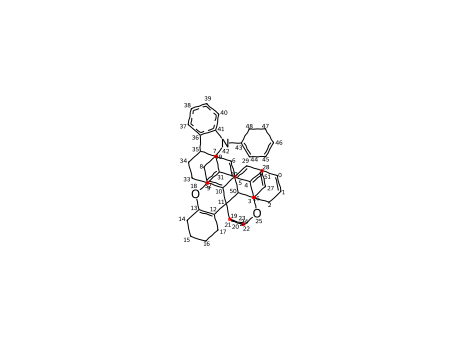 C1=CCCC(C2=CCCC3=C2C2(C4=C(CCCC4)O3)C3CCCC=C3OC3C=CC=C(C4=CCCC5c6ccccc6N(C6=CC=CCC6)C45)C32)=C1